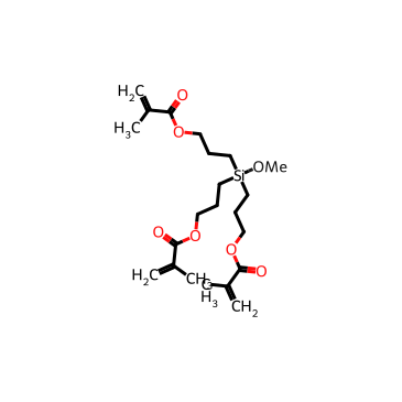 C=C(C)C(=O)OCCC[Si](CCCOC(=O)C(=C)C)(CCCOC(=O)C(=C)C)OC